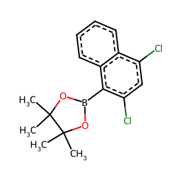 CC1(C)OB(c2c(Cl)cc(Cl)c3ccccc23)OC1(C)C